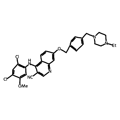 CCN1CCN(Cc2ccc(COc3ccc4c(Nc5cc(OC)c(Cl)cc5Cl)c(C#N)cnc4c3)cc2)CC1